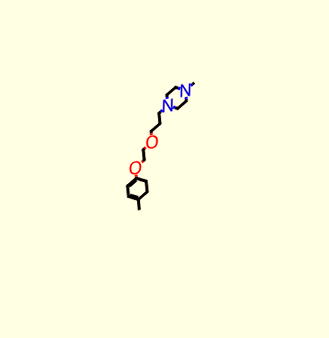 CC1=CC=C(OCCOCCCN2CCN(C)CC2)CC1